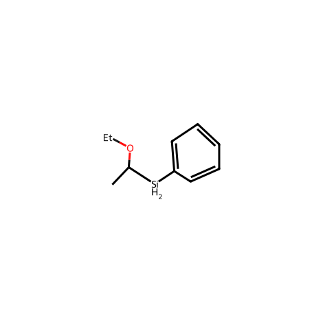 CCOC(C)[SiH2]c1ccccc1